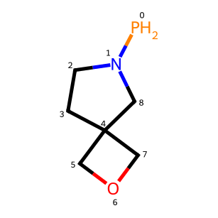 PN1CCC2(COC2)C1